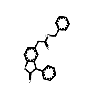 O=C(Cc1ccc2c(c1)C(c1ccccc1)C(=O)O2)NCc1ccccc1